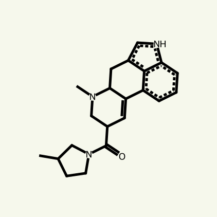 CC1CCN(C(=O)C2C=C3c4cccc5[nH]cc(c45)CC3N(C)C2)C1